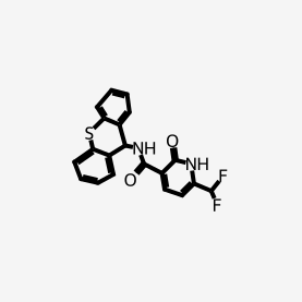 O=C(NC1c2ccccc2Sc2ccccc21)c1ccc(C(F)F)[nH]c1=O